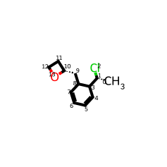 C[C@@H](Cl)C1C=CC=CC1C[C@H]1CCO1